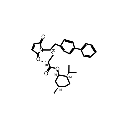 CC(C)[C@@H]1CC[C@@H](C)C[C@H]1OC(=O)[C@H](C)C[C@@H](Cc1ccc(-c2ccccc2)cc1)N1C(=O)C=CC1=O